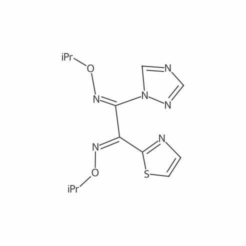 CC(C)O/N=C(/C(=N/OC(C)C)n1cncn1)c1nccs1